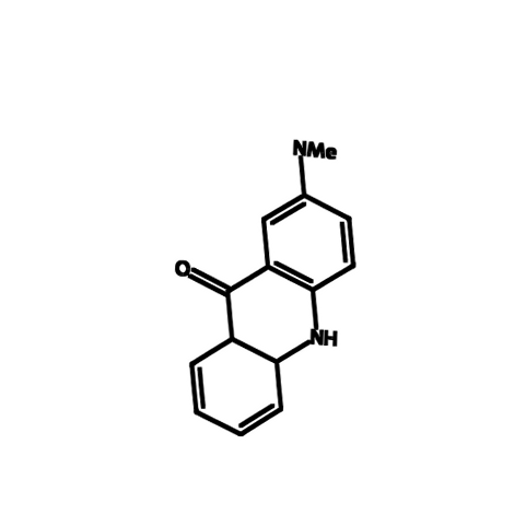 CNc1ccc2c(c1)C(=O)C1C=CC=CC1N2